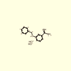 Cl.Cl.N=C(N)c1cccc(OCc2ccccc2)c1